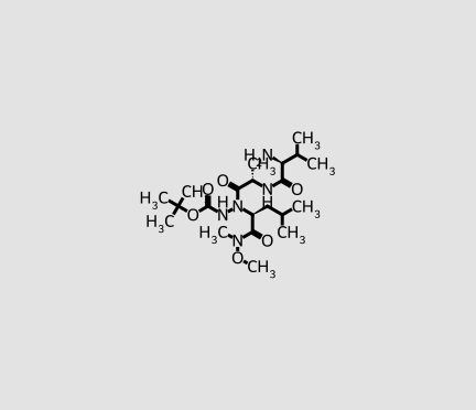 CON(C)C(=O)[C@H](CC(C)C)N(NC(=O)OC(C)(C)C)C(=O)[C@H](C)NC(=O)[C@@H](N)C(C)C